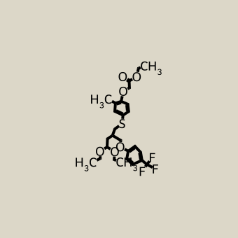 CCOC(=O)COc1ccc(SCC(COc2ccc(C(F)(F)F)cc2)CC(OCC)OCC)cc1C